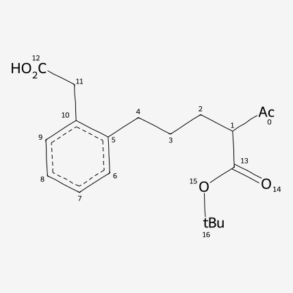 CC(=O)C(CCCc1ccccc1CC(=O)O)C(=O)OC(C)(C)C